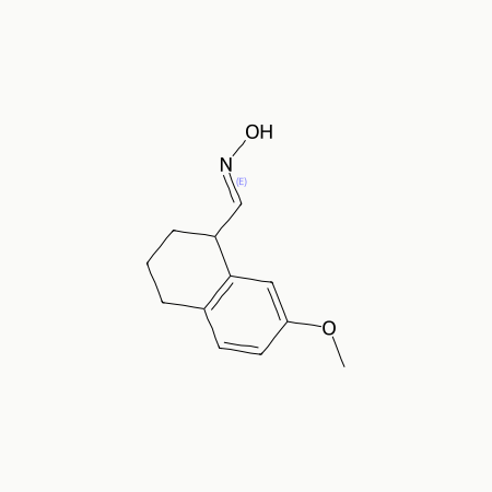 COc1ccc2c(c1)C(/C=N/O)CCC2